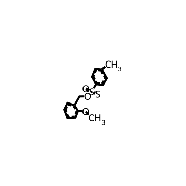 COc1ccccc1COS(=O)(=S)c1ccc(C)cc1